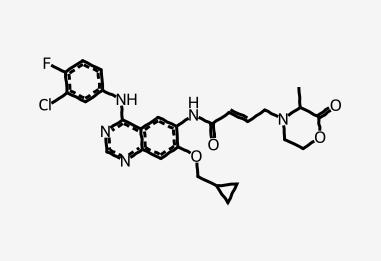 CC1C(=O)OCCN1CC=CC(=O)Nc1cc2c(Nc3ccc(F)c(Cl)c3)ncnc2cc1OCC1CC1